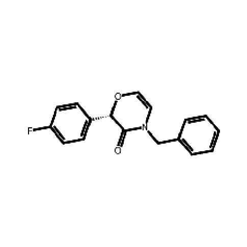 O=C1[C@H](c2ccc(F)cc2)OC=CN1Cc1ccccc1